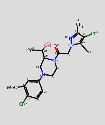 COc1cc(N2CCN(C(=O)Cn3nc(C(F)(F)F)c(Cl)c3C)C(C(O)C(C)C)C2)ccc1Cl